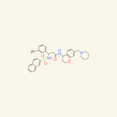 CC(C)c1cccc(C(CC(=O)NC2CCOc3cc(CN4CCCCC4)ccc32)NS(=O)(=O)c2ccc3ccccc3c2)c1